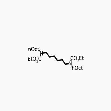 CCCCCCCCN(CCCCCCN(CCCCCCCC)C(=O)OCC)C(=O)OCC